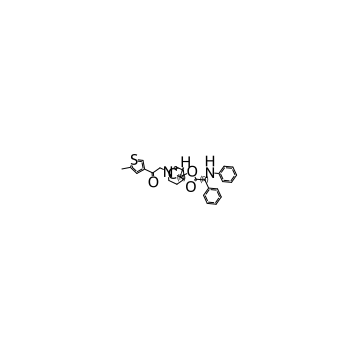 Cc1cc(C(=O)C[N+]23CCC(CC2)[C@@H](OC(=O)[C@H](Nc2ccccc2)c2ccccc2)C3)cs1